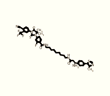 Cc1ncsc1-c1ccc([C@@H](N)CC(=O)NCCCCCCCCCNC(=O)c2ccc(N3C(=S)N(c4ccc(C#N)c(C(F)(F)F)c4)C(=O)C3(C)C)cc2F)cc1